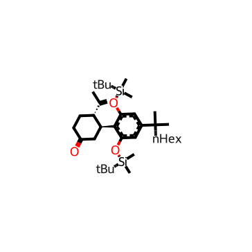 C=C(C)[C@H]1CCC(=O)C[C@@H]1c1c(O[Si](C)(C)C(C)(C)C)cc(C(C)(C)CCCCCC)cc1O[Si](C)(C)C(C)(C)C